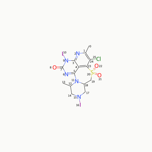 Cc1nc2c3c(nc(=O)n2I)N2C(C)CN(I)CC2CS(=O)(=O)c3c1Cl